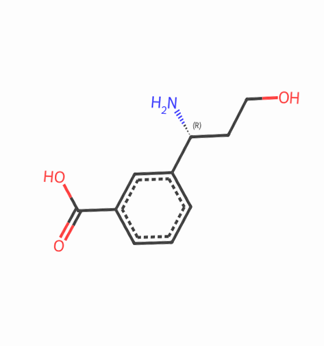 N[C@H](CCO)c1cccc(C(=O)O)c1